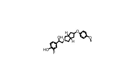 COc1ccc(OC2C[C@@H]3CN(CC(O)c4ccc(O)c(F)c4)C[C@@H]3C2)cc1